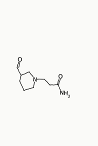 NC(=O)CCN1CCCC(C=O)C1